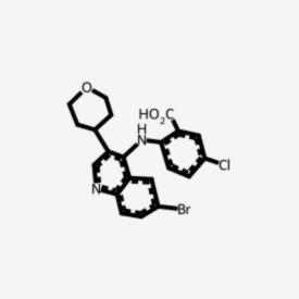 O=C(O)c1cc(Cl)ccc1Nc1c(C2CCOCC2)cnc2ccc(Br)cc12